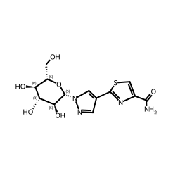 NC(=O)c1csc(-c2cnn([C@H]3O[C@@H](CO)[C@H](O)[C@@H](O)[C@@H]3O)c2)n1